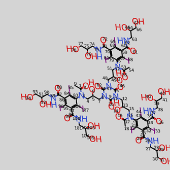 CC(=O)N(CC(O)Cn1c(=O)n(CC(O)CN(C(C)=O)c2c(I)c(C(=O)NCC(O)CO)c(I)c(C(=O)NCC(O)CO)c2I)c(=O)n(CC(O)CN(C(C)=O)c2c(I)c(C(=O)NCC(O)CO)c(I)c(C(=O)NCC(O)CO)c2I)c1=O)c1c(I)c(C(=O)NCC(O)CO)c(I)c(C(=O)NCC(O)CO)c1I